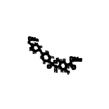 COCc1ncc(-c2ccc(S(=O)(=O)Nc3cc(F)c(C(=O)OC)cc3F)cc2)cn1